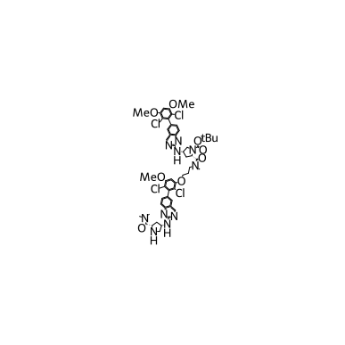 COc1cc(OC)c(Cl)c(-c2ccc3nc(N[C@H]4C[C@@H](C(=O)N(C)CCCOc5cc(OC)c(Cl)c(-c6ccc7nc(N[C@@H]8CN[C@H](C(=O)N(C)C)C8)ncc7c6)c5Cl)N(C(=O)OC(C)(C)C)C4)ncc3c2)c1Cl